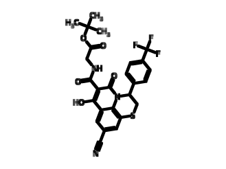 CC(C)(C)OC(=O)CNC(=O)c1c(O)c2cc(C#N)cc3c2n(c1=O)C(c1ccc(C(F)(F)F)cc1)CS3